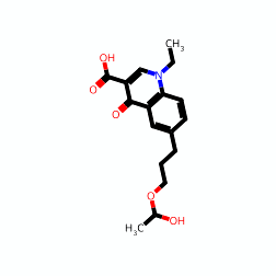 CCn1cc(C(=O)O)c(=O)c2cc(CCCO[C](C)O)ccc21